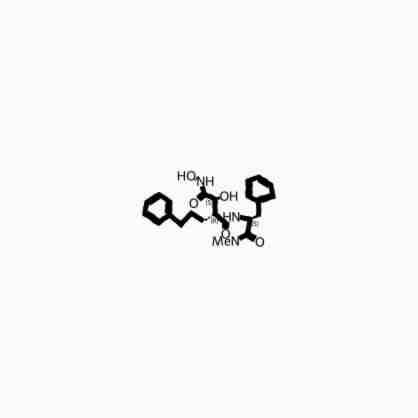 CNC(=O)[C@H](Cc1ccccc1)NC(=O)[C@H](CCCc1ccccc1)[C@H](O)C(=O)NO